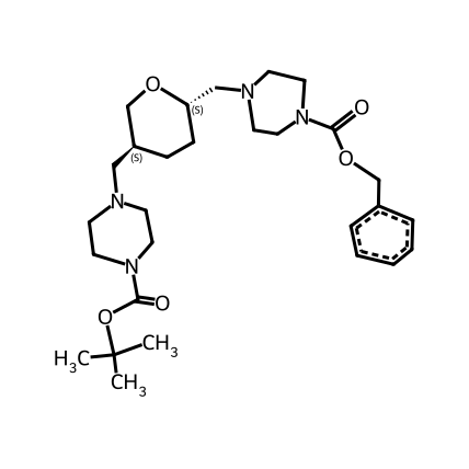 CC(C)(C)OC(=O)N1CCN(C[C@@H]2CC[C@@H](CN3CCN(C(=O)OCc4ccccc4)CC3)OC2)CC1